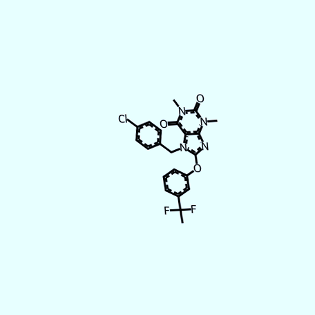 Cn1c(=O)c2c(nc(Oc3cccc(C(C)(F)F)c3)n2Cc2ccc(Cl)cc2)n(C)c1=O